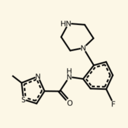 Cc1nc(C(=O)Nc2cc(F)ccc2N2CCNCC2)cs1